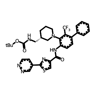 CC(C)(C)OC(=O)NC[C@@H]1CCCN(c2c(NC(=O)c3csc(-c4ccnnc4)n3)ccc(-c3ccccc3)c2C(F)(F)F)C1